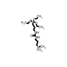 CCO[Si](CCCNC(=O)NCCCN(C)C)(OCC)OCC